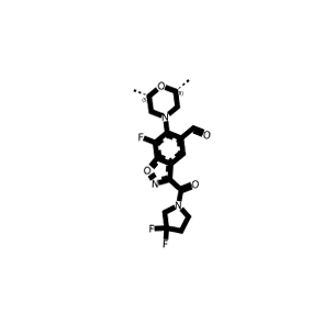 C[C@@H]1CN(c2c(C=O)cc3c(C(=O)N4CCC(F)(F)C4)noc3c2F)C[C@H](C)O1